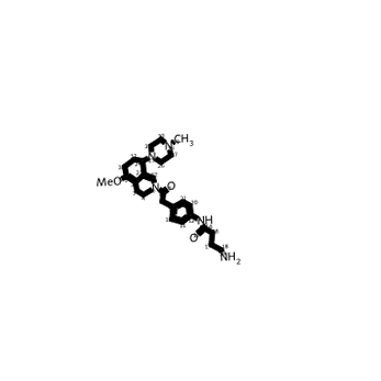 COC1=C2CCN(C(=O)Cc3ccc(NC(=O)CCCN)cc3)C=C2C(N2CCN(C)CC2)CC1